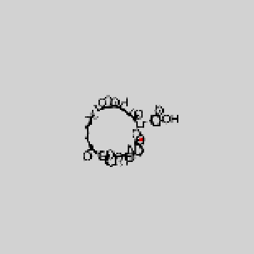 COC[C@H]1C[C@@H]2CC[C@@H](C)[C@@](O)(O2)C(=O)C(=O)N2CCC[C@H](C)[C@H]2C(=O)O[C@H](CC[C@@H]2CC[C@@H](O)[C@H](OC)C2)CC(=O)[C@H](C)/C=C(\C)[C@@H](O)[C@@H](OC)C(=O)[C@H](C)C[C@H](C)/C=C/C=C/C=C/1C